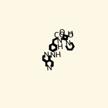 O=C(O)[C@H](Cc1ccc(Nc2nccc3cnccc23)cc1)Nc1c(N2CCCCC2)c(=O)c1=O